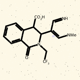 CN/C=C(\C=N)C1C(C(=O)O)c2ccccc2C(=O)N1CC(F)(F)F